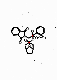 COC(=O)[C@H](C1CC2CCC(C1)N2C(=O)OCc1ccccc1)N1C(=O)c2ccccc2C1=O